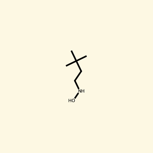 CC(C)(C)CCNO